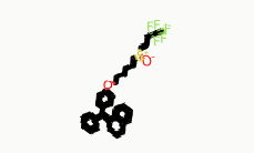 [O-][S+](CCCCCCOc1ccc(C(=C2CCCc3ccccc32)c2ccccc2)cc1)CCCC(F)(F)C(F)(F)F